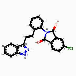 O=C1c2ccc(Cl)cc2C(=O)N1c1ccccc1C=Cc1n[nH]c2ccccc12